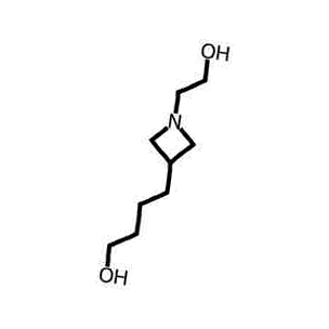 OCCCCC1CN(CCO)C1